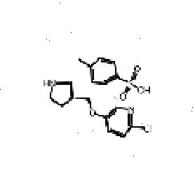 Cc1ccc(S(=O)(=O)O)cc1.Clc1ccc(OC[C@H]2CCNC2)cn1